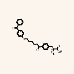 CO[C@@H](Cc1ccc(C(=O)CCCCCOc2ccc(C(=O)c3ccccc3)cc2)cc1)C(=O)O